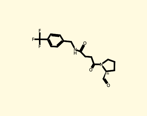 O=C[C@@H]1CCCN1C(=O)CCC(=O)NCc1ccc(C(F)(F)F)cc1